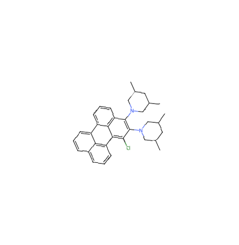 CC1CC(C)CN(c2c(N3CC(C)CC(C)C3)c3cccc4c5cccc6cccc(c(c2Cl)c34)c65)C1